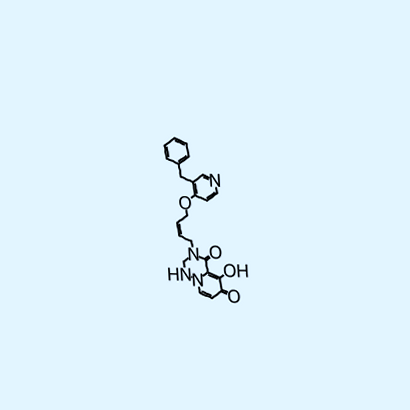 O=C1c2c(O)c(=O)ccn2NCN1C/C=C\COc1ccncc1Cc1ccccc1